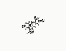 Cc1noc(-c2cc3cc(C#N)cc(F)c3nc2N2CCC(=O)CC2)n1